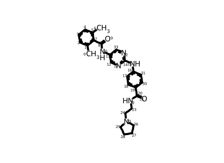 Cc1cccc(C)c1C(=O)Nc1cnc(Nc2ccc(C(=O)NCCN3CCCC3)cc2)nc1